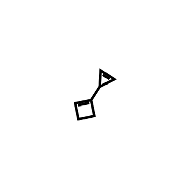 C1=CC1C1=CCC1